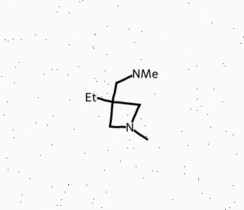 CCC1(CNC)CN(C)C1